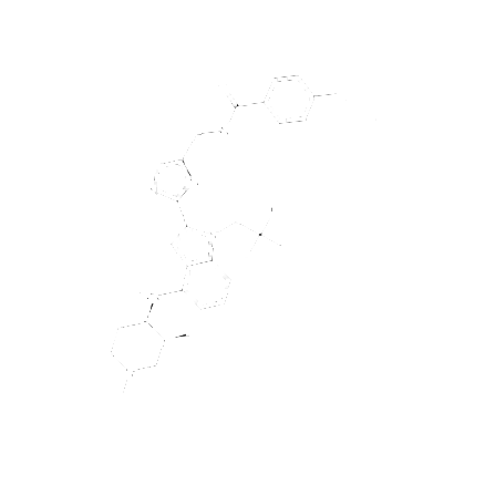 COc1ccc(C(=O)NCc2nc(-c3cc4c(N[C@@H]5CCN(C)C[C@@H]5F)cccc4n3CC(F)(F)F)no2)cc1